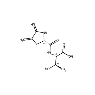 C=C1C[C@@H](C(=O)N[C@H](C(=O)O)[C@@H](C)O)NC1=N